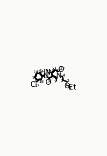 CCOCCCn1c(C)c2c(=O)n(-c3cccc(Cl)c3)[nH]c2cc1=O